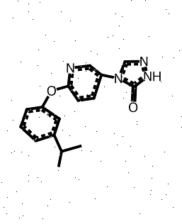 CC(C)c1cccc(Oc2ccc(-n3cn[nH]c3=O)cn2)c1